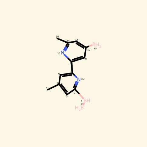 BBc1cc(C)cc(-c2cc(B)cc(C)n2)n1